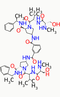 CN[C@@H](CO)C(=O)N[C@H](C(=O)N1C[C@@H](NC(=O)c2cccc(C(=O)N[C@H]3C[C@@H](C(=O)N[C@H](C)c4ccccc4)N(C(=O)[C@@H](NC(=O)[C@H](CO)NC)C(C)C)C3)c2)C[C@H]1C(=O)N[C@H](C)c1ccccc1)C(C)C